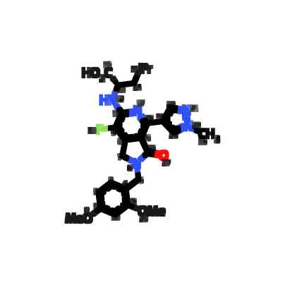 COc1ccc(CN2Cc3c(F)c(N[C@H](CC(C)C)C(=O)O)nc(-c4cnn(C)c4)c3C2=O)c(OC)c1